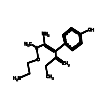 C=C(CC)/C(=C(/N)N(C)OCCN)c1ccc(O)cc1